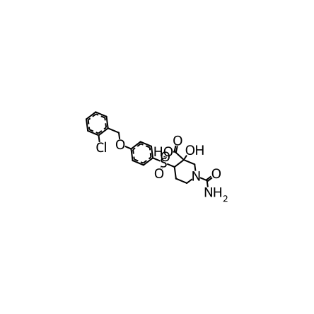 NC(=O)N1CCC(S(=O)(=O)c2ccc(OCc3ccccc3Cl)cc2)C(O)(C(=O)O)C1